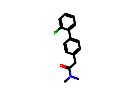 CN(C)C(=O)Cc1ccc(-c2ccccc2F)cc1